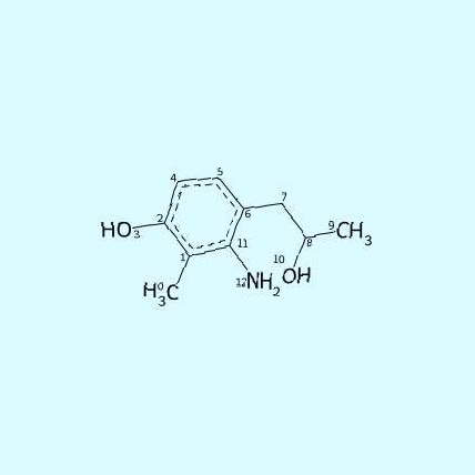 Cc1c(O)ccc(CC(C)O)c1N